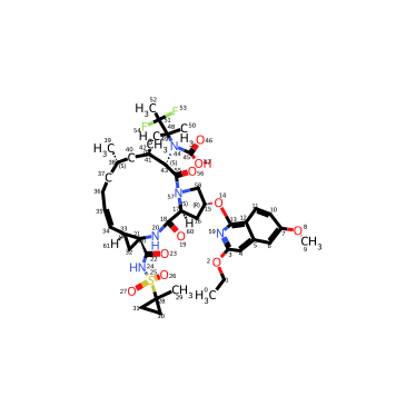 CCOc1cc2cc(OC)ccc2c(O[C@@H]2C[C@H]3C(=O)N[C@]4(C(=O)NS(=O)(=O)C5(C)CC5)C[C@H]4C=CCC[C@H](C)C[C@@H](C)[C@H](N(C(=O)O)C(C)(C)C(C)(F)F)C(=O)N3C2)n1